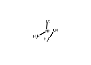 CC#N.CCNN